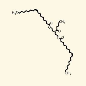 CCCCCCCC/C=C\CCCCCCCC(=O)OCCN(CCOC(=O)CCCCCCC/C=C\CCCCCCCC)C(=O)SCCC